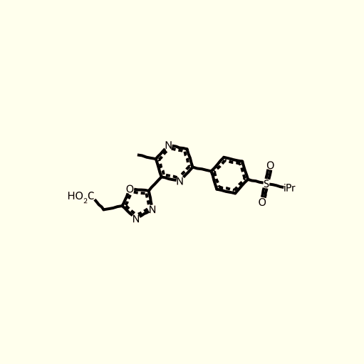 Cc1ncc(-c2ccc(S(=O)(=O)C(C)C)cc2)nc1-c1nnc(CC(=O)O)o1